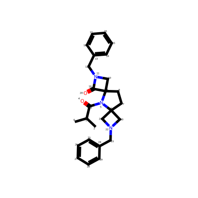 CC(C)C(=O)N1C2(CCC13CN(Cc1ccccc1)C3=O)CN(Cc1ccccc1)C2